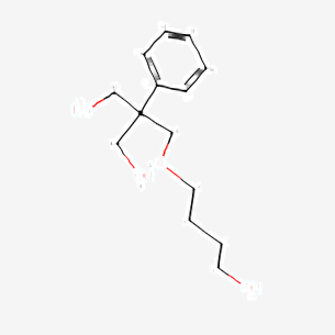 OCCCCOCC(CO)(CO)c1ccccc1